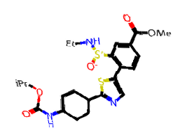 CCN[S+]([O-])c1cc(C(=O)OC)ccc1-c1cnc(C2CCC(NC(=O)OC(C)C)CC2)s1